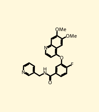 COc1cc2nccc(Oc3cc(C(=O)NCc4cccnc4)ccc3F)c2cc1OC